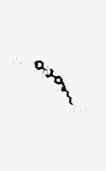 CCCCCCCCCc1ccc(-c2ncc(-c3ccc(OC(=O)CCCCCC(C)CCC)cc3)cn2)cc1